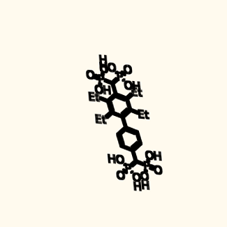 CCc1c(CC)c(C(P(=O)(O)O)P(=O)(O)O)c(CC)c(CC)c1-c1ccc(C(P(=O)(O)O)P(=O)(O)O)cc1